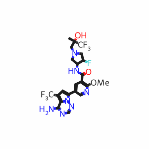 COc1ncc(-c2cc(C(F)(F)F)c3c(N)ncnn23)cc1C(=O)NC1CN(CC(C)(O)C(F)(F)F)CC1F